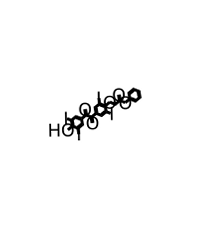 O=C(COc1c(I)cc(C(=O)C(=O)c2cc(I)c(O)c(I)c2)cc1I)Oc1ccccc1